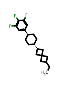 CCC1CC2(C1)CC([C@H]1CC[C@H](c3cc(F)c(F)c(F)c3)CC1)C2